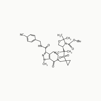 Cn1nc(C(=O)NCc2ccc(C#N)cc2)c2c1C(=O)N(CC1(S(=O)(=O)C(C)(C)[C@H]3COC(C)(C)N3C(=O)OC(C)(C)C)CC1)CC2